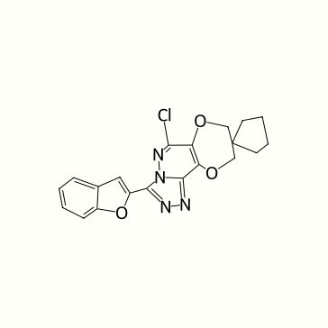 Clc1nn2c(-c3cc4ccccc4o3)nnc2c2c1OCC1(CCCC1)CO2